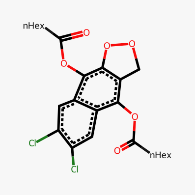 CCCCCCC(=O)Oc1c2c(c(OC(=O)CCCCCC)c3cc(Cl)c(Cl)cc13)OOC2